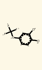 FC(F)(F)Oc1[c]c(Cl)c(Cl)cc1